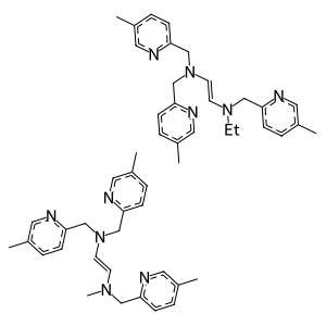 CCN(/C=C/N(Cc1ccc(C)cn1)Cc1ccc(C)cn1)Cc1ccc(C)cn1.Cc1ccc(CN(C)/C=C/N(Cc2ccc(C)cn2)Cc2ccc(C)cn2)nc1